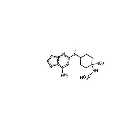 CC(C)(C)C1(NC(=O)O)CCC(Nc2cc(N)c3nccn3n2)CC1